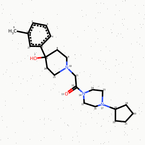 Cc1cccc(C2(O)CCN(CC(=O)N3CCN(C4CCCC4)CC3)CC2)c1